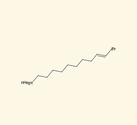 CCCCCCCCCCCCCCCC=CC(C)C